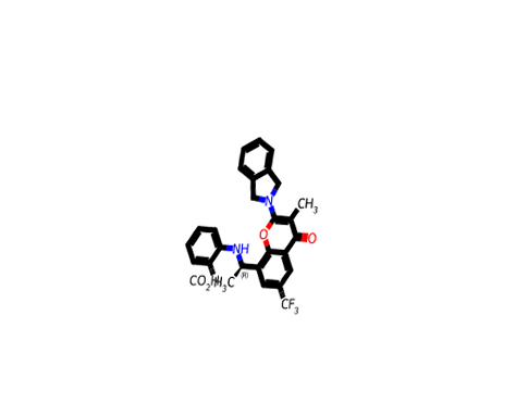 Cc1c(N2Cc3ccccc3C2)oc2c([C@@H](C)Nc3ccccc3C(=O)O)cc(C(F)(F)F)cc2c1=O